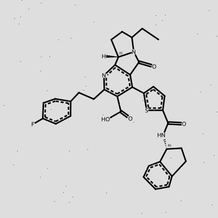 CCC1CC[C@H]2c3nc(CCc4ccc(F)cc4)c(C(=O)O)c(-c4ccc(C(=O)N[C@@H]5CCc6ccccc65)s4)c3C(=O)N12